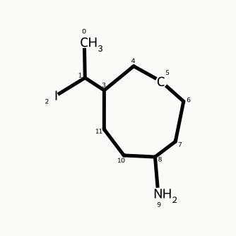 CC(I)C1CCCCC(N)CC1